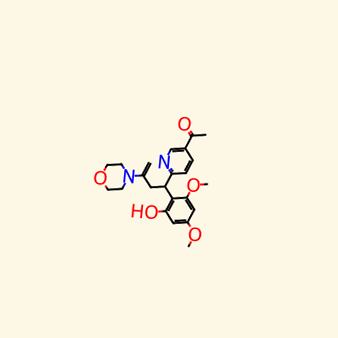 C=C(CC(c1ccc(C(C)=O)cn1)c1c(O)cc(OC)cc1OC)N1CCOCC1